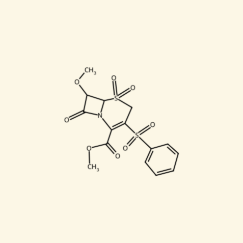 COC(=O)C1=C(S(=O)(=O)c2ccccc2)CS(=O)(=O)C2C(OC)C(=O)N12